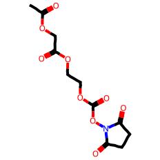 CC(=O)OCC(=O)OCCOC(=O)ON1C(=O)CCC1=O